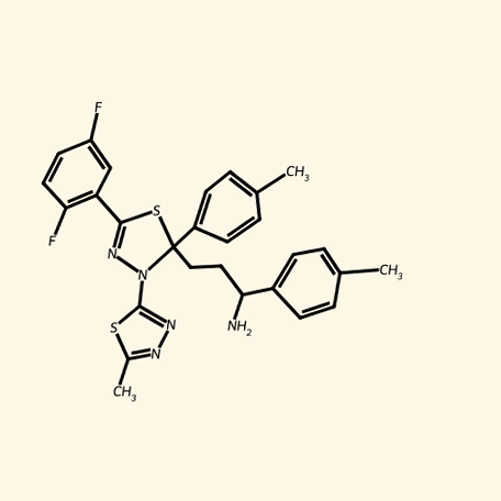 Cc1ccc(C(N)CCC2(c3ccc(C)cc3)SC(c3cc(F)ccc3F)=NN2c2nnc(C)s2)cc1